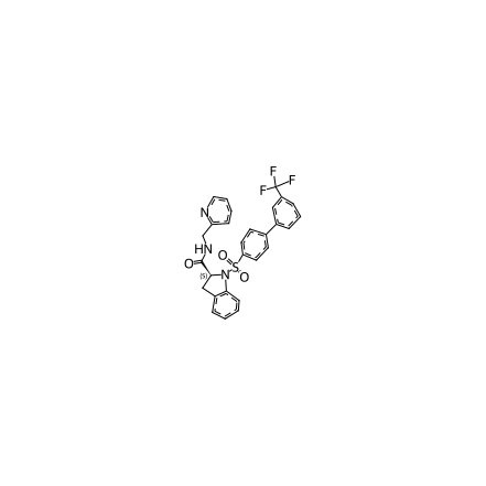 O=C(NCc1ccccn1)[C@@H]1Cc2ccccc2N1S(=O)(=O)c1ccc(-c2cccc(C(F)(F)F)c2)cc1